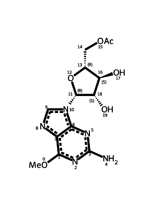 COc1nc(N)nc2c1ncn2[C@@H]1O[C@H](COC(C)=O)[C@@H](O)[C@@H]1O